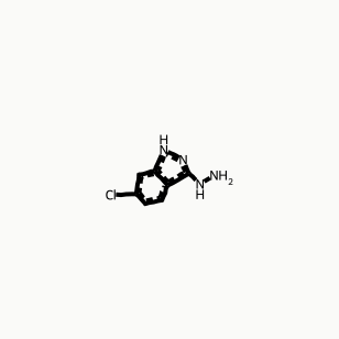 NNc1n[nH]c2cc(Cl)ccc12